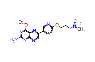 CCOc1nc(N)nc2ncc(-c3ccc(OCCCN(C)C)nc3)nc12